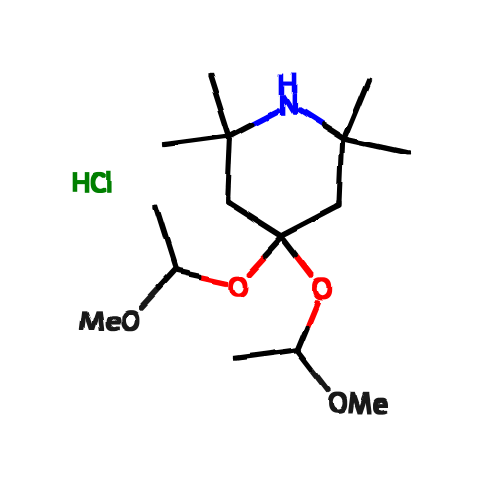 COC(C)OC1(OC(C)OC)CC(C)(C)NC(C)(C)C1.Cl